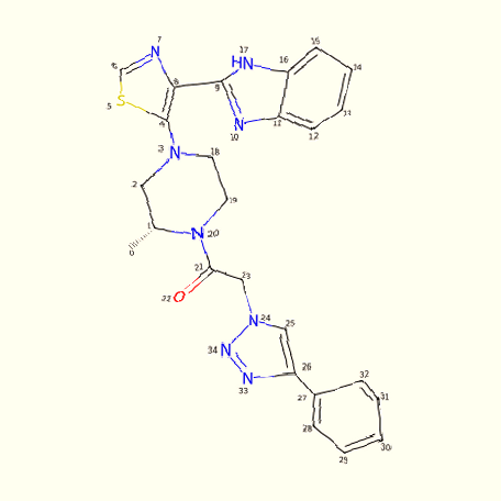 C[C@@H]1CN(c2scnc2-c2nc3ccccc3[nH]2)CCN1C(=O)Cn1cc(-c2ccccc2)nn1